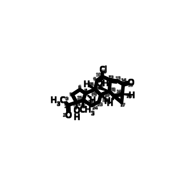 CC(=O)[C@@]1(O)CC[C@H]2[C@@H]3C=C(Cl)C4=CC(=O)[C@@H]5C[C@@H]5[C@]4(CO)[C@H]3CC[C@@]21C